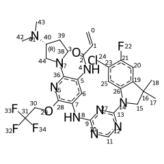 C=CC(=O)Nc1cc(Nc2ncnc(N3CC(C)(C)c4cc(F)c(Cl)cc43)n2)c(OCC(F)(F)F)nc1N1CC[C@@H](N(C)C)C1